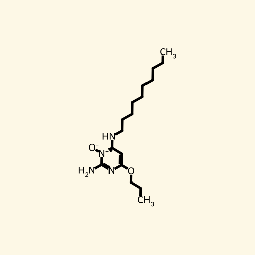 CCCCCCCCCCNc1cc(OCCC)nc(N)[n+]1[O-]